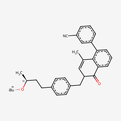 CC[C@@H](C)O[C@@H](C)CCc1ccc(CC2C=C(C)c3c(cccc3-c3cccc(C#N)c3)C2=O)cc1